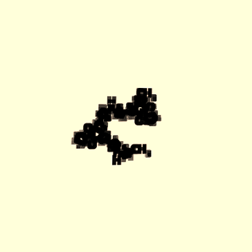 Cc1ccc(Pc2ccc(-c3cc4c(=O)n(-c5ccccc5)c(=O)c5cc(-c6ccc(Pc7ccc(-c8cc9c(=O)n(-c%10cccs%10)c(=O)c%10cc(C)sc%10c9s8)s7)s6)sc5c4s3)s2)s1